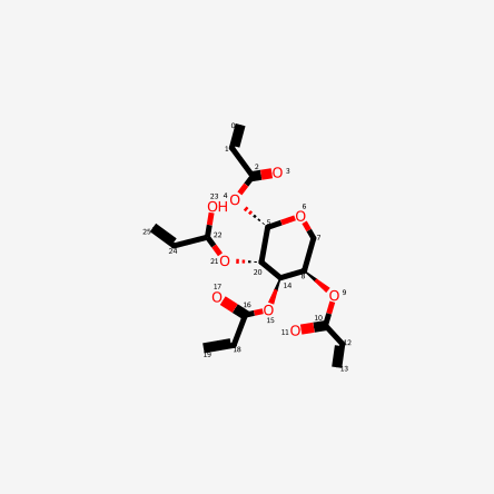 C=CC(=O)O[C@@H]1OC[C@@H](OC(=O)C=C)[C@@H](OC(=O)C=C)[C@@H]1OC(O)C=C